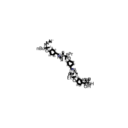 CCCCC(C)(N=[N+]=[N-])Oc1ccc(/C=N/N(C)[PH](=S)C(C)(CCC)Oc2ccc(/C=N/N(C)[PH](=S)C(C)(CC)Oc3ccc(C(O)P(=O)(O)O)cc3)cc2)cc1